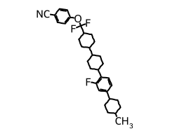 CC1CCC(c2ccc(C3CCC(C4CCC(C(F)(F)Oc5ccc(C#N)cc5)CC4)CC3)c(F)c2)CC1